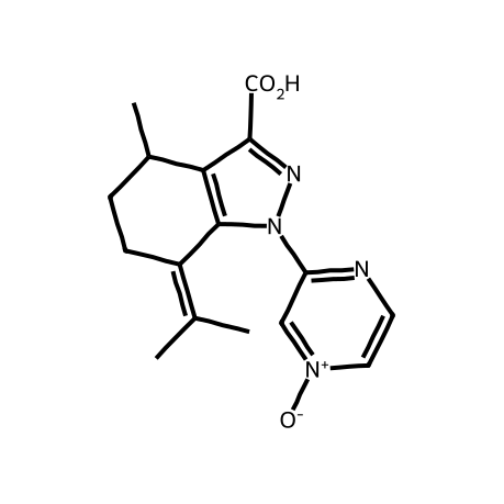 CC(C)=C1CCC(C)c2c(C(=O)O)nn(-c3c[n+]([O-])ccn3)c21